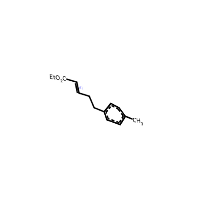 CCOC(=O)/C=C/CCc1ccc(C)cc1